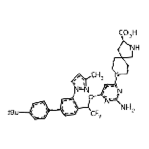 Cc1ccn(-c2cc(-c3ccc(C(C)(C)C)cc3)ccc2C(Oc2cc(N3CCC4(CC3)CN[C@H](C(=O)O)C4)nc(N)n2)C(F)(F)F)n1